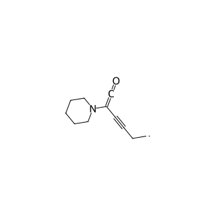 [CH2]CC#CC(=C=O)N1CCCCC1